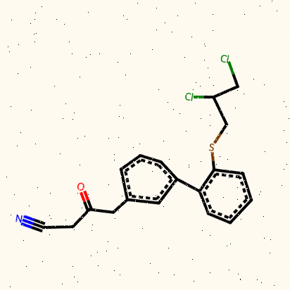 N#CCC(=O)Cc1cccc(-c2ccccc2SCC(Cl)CCl)c1